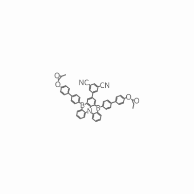 CC1OC1Oc1ccc(-c2ccc(B3c4ccccc4N4c5ccccc5B(c5ccc(-c6ccc(OC7OC7C)cc6)cc5)c5cc(-c6cc(C#N)cc(C#N)c6)cc3c54)cc2)cc1